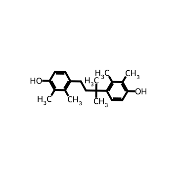 Cc1c(O)ccc(CCC(C)(C)c2ccc(O)c(C)c2C)c1C